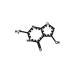 N#Cc1coc2nc(N)[nH]c(=O)c12